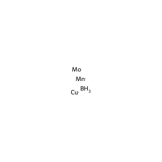 B.[Cu].[Mn].[Mo]